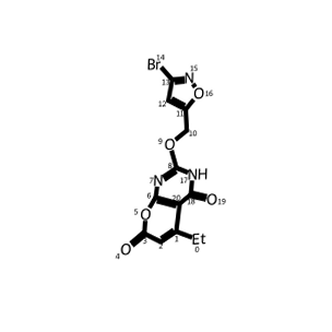 CCc1cc(=O)oc2nc(OCc3cc(Br)no3)[nH]c(=O)c12